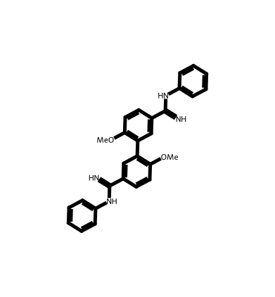 COc1ccc(C(=N)Nc2ccccc2)cc1-c1cc(C(=N)Nc2ccccc2)ccc1OC